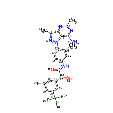 Cc1nc(N)c2c(n1)c(C)nn2-c1ccc(NC(=O)[C@H](O)c2cc(F)cc(C(F)(F)F)c2)cc1C